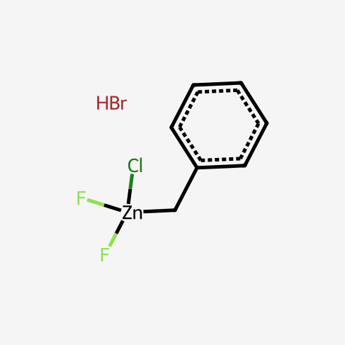 Br.[F][Zn]([F])([Cl])[CH2]c1ccccc1